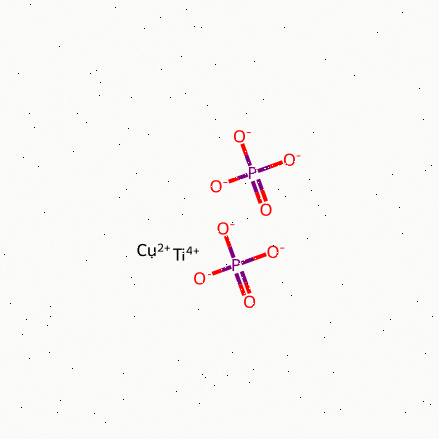 O=P([O-])([O-])[O-].O=P([O-])([O-])[O-].[Cu+2].[Ti+4]